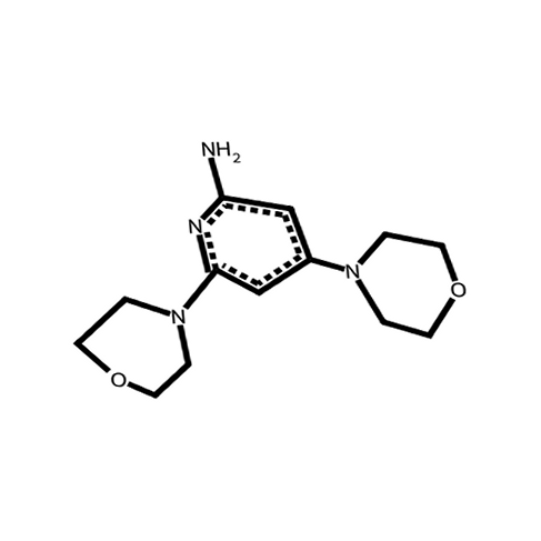 Nc1cc(N2CCOCC2)cc(N2CCOCC2)n1